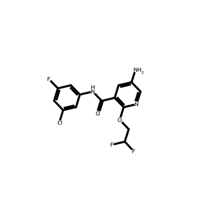 Nc1cnc(OCC(F)F)c(C(=O)Nc2cc(F)cc(Cl)c2)c1